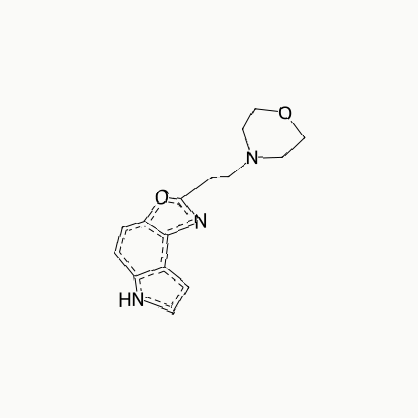 c1cc2c(ccc3oc(CCN4CCOCC4)nc32)[nH]1